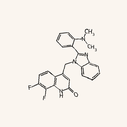 CN(C)c1ccccc1-c1nc2ccccc2n1Cc1cc(=O)[nH]c2c(F)c(F)ccc12